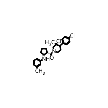 Cc1cccc(N[C@@H]2CCC[C@@H]2C(=O)N2CCC(c3ccc(Cl)cc3)C(C)(C)C2)c1